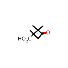 CC1(C)C(=O)CC1(C)C(=O)O